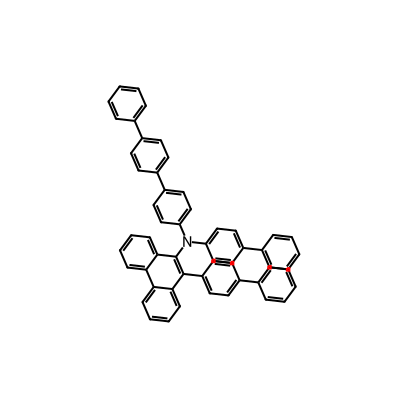 c1ccc(-c2ccc(-c3ccc(N(c4ccc(-c5ccccc5)cc4)c4c(-c5ccc(-c6ccccc6)cc5)c5ccccc5c5ccccc45)cc3)cc2)cc1